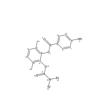 CCCc1ccc(C(=O)Oc2c(C)ccc(C)c2OC(=O)N(CC)CC)cc1